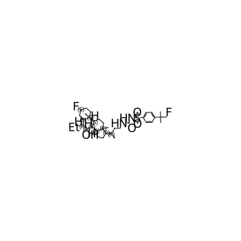 CC[C@H]1[C@@H](O)[C@@H]2[C@H](CC[C@]3(C)[C@@H]([C@H](C)CCNC(=O)NS(=O)(=O)c4ccc(C(C)(C)CF)cc4)CC[C@@H]23)[C@@]2(C)CC[C@H](F)C[C@@H]12